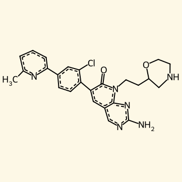 Cc1cccc(-c2ccc(-c3cc4cnc(N)nc4n(CCC4CNCCO4)c3=O)c(Cl)c2)n1